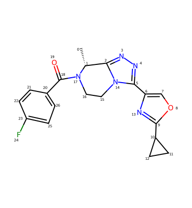 C[C@@H]1c2nnc(-c3coc(C4CC4)n3)n2CCN1C(=O)c1ccc(F)cc1